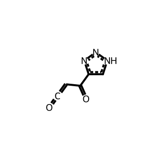 O=C=CC(=O)c1c[nH]nn1